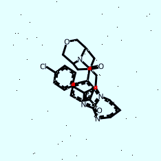 COc1cccc(C(=O)N2C3COCC2CN(Cc2c(-c4ccc(Cl)cc4)nc4ncccn24)C3)c1